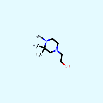 CCCN1CCN(CCO)CC1(C)C